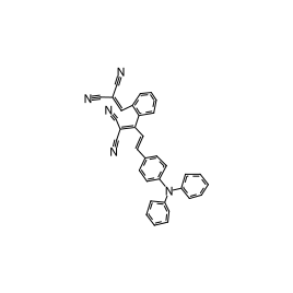 N#CC(C#N)=Cc1ccccc1C(C=Cc1ccc(N(c2ccccc2)c2ccccc2)cc1)=C(C#N)C#N